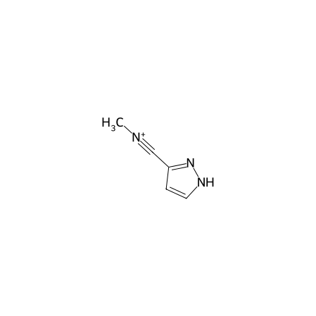 C[N+]#Cc1cc[nH]n1